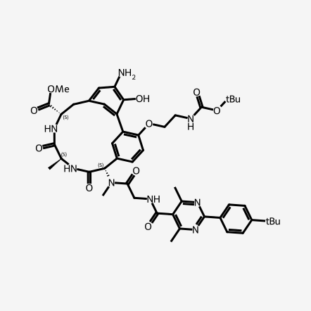 COC(=O)[C@@H]1Cc2cc(N)c(O)c(c2)-c2cc(ccc2OCCNC(=O)OC(C)(C)C)[C@H](N(C)C(=O)CNC(=O)c2c(C)nc(-c3ccc(C(C)(C)C)cc3)nc2C)C(=O)N[C@@H](C)C(=O)N1